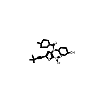 CC1CCC(C(=O)N(c2cc(C#CC(C)(C)C)sc2[14C](=O)O)C2CCC(O)CC2)CC1